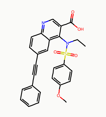 CCN(c1c(C(=O)O)cnc2ccc(C#Cc3ccccc3)cc12)S(=O)(=O)c1ccc(OC)cc1